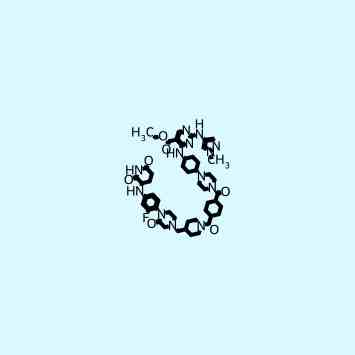 CCOC(=O)c1cnc(Nc2cnn(C)c2)nc1NC1CCC(N2CCN(C(=O)C3CCC(C(=O)N4CCC(CN5CCN(c6ccc(NC7CCC(=O)NC7=O)cc6F)C(=O)C5)CC4)CC3)CC2)CC1